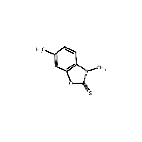 Cc1ccc2c(c1)oc(=S)n2C